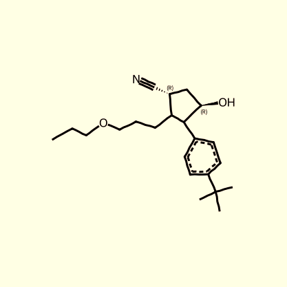 CCCOCCCC1C(c2ccc(C(C)(C)C)cc2)[C@H](O)C[C@H]1C#N